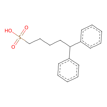 O=S(=O)(O)CCCCC(c1ccccc1)c1ccccc1